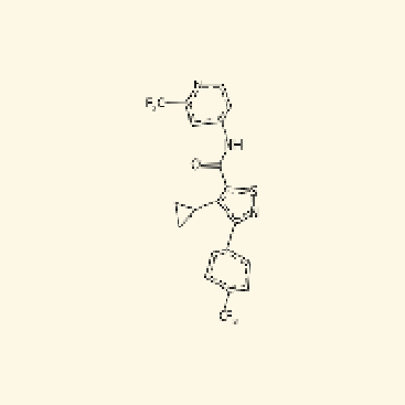 O=C(Nc1ccnc(C(F)(F)F)c1)c1snc(-c2ccc(C(F)(F)F)cc2)c1C1CC1